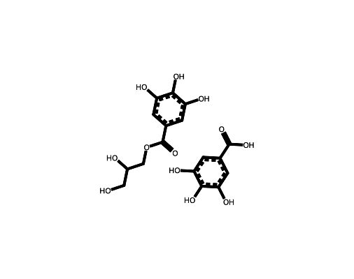 O=C(O)c1cc(O)c(O)c(O)c1.O=C(OCC(O)CO)c1cc(O)c(O)c(O)c1